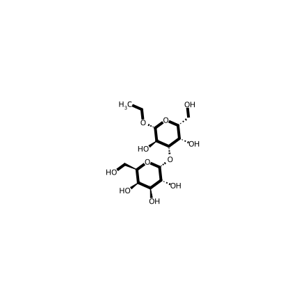 CCO[C@@H]1O[C@H](CO)[C@H](O)[C@H](O[C@H]2O[C@H](CO)[C@H](O)[C@H](O)[C@H]2O)[C@H]1O